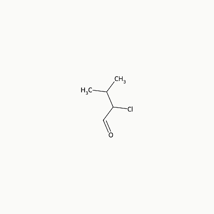 CC(C)C(Cl)C=O